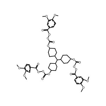 COc1ccc(C(=O)OOC(=O)OC2CCC(C(C3CCC(OC(=O)OOC(=O)c4ccc(OC)c(OC)c4)CC3)C3CCC(OC(=O)OOC(=O)c4ccc(OC)c(OC)c4)CC3)CC2)cc1OC